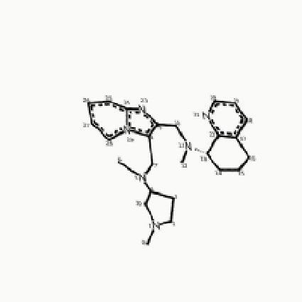 CN1CCC(N(C)Cc2c(CN(C)[C@H]3CCCc4cccnc43)nc3ccccn23)C1